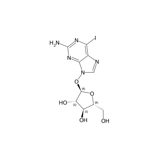 Nc1nc(I)c2ncn(O[C@H]3O[C@H](CO)[C@@H](O)[C@@H]3O)c2n1